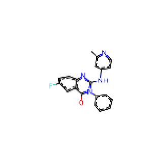 Cc1cc(Nc2nc3ccc(F)cc3c(=O)n2-c2ccccc2)ccn1